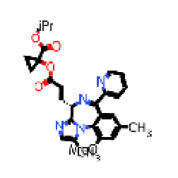 COc1cc(C)cc2c1-n1c(C)cnc1[C@H](CCC(=O)OC1(C(=O)OC(C)C)CC1)N=C2c1ccccn1